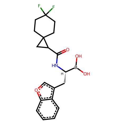 O=C(N[C@@H](Cc1coc2ccccc12)B(O)O)C1CC12CCC(F)(F)CC2